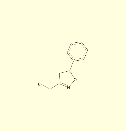 ClCC1=NOC(c2ccccc2)C1